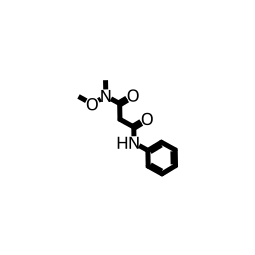 CON(C)C(=O)CC(=O)Nc1ccccc1